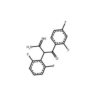 N=C(N)C(C(=O)c1ccc(F)cc1F)c1c(F)cccc1F